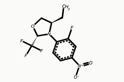 CC[C@@H]1CO[C@@H](C(F)(F)F)N1c1ccc([N+](=O)[O-])cc1F